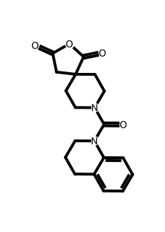 O=C1CC2(CCN(C(=O)N3CCCc4ccccc43)CC2)C(=O)O1